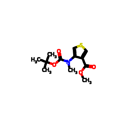 COC(=O)c1cscc1N(C)C(=O)OC(C)(C)C